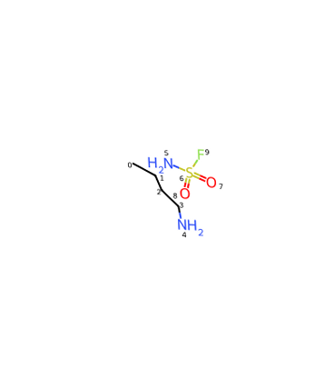 CCCCN.NS(=O)(=O)F